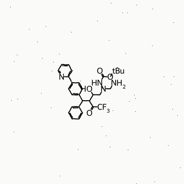 CC(C)(C)OC(=O)NN(CN)CC(O)C(C(=O)C(F)(F)F)C(c1ccccc1)c1ccc(-c2ccccn2)cc1